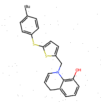 CC(C)(C)c1ccc(Sc2ccc(CN3C=CCc4cccc(O)c43)s2)cc1